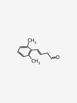 Cc1cccc(C)c1C=CC[C]=O